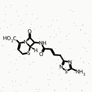 Nc1nc(CC=CC(=O)NC2C(=O)N3C(C(=O)O)=CCS[C@@H]23)ns1